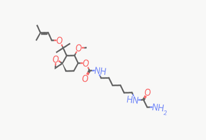 COC1C(OC(=O)NCCCCCCNC(=O)CN)CC[C@]2(CO2)C1C(C)(C)OCC=C(C)C